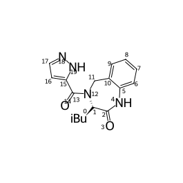 CC[C@H](C)[C@H]1C(=O)Nc2ccccc2CN1C(=O)c1ccn[nH]1